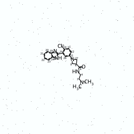 CN(C)CCNC(=O)C1CN(c2ccc(Cl)c(-c3nc4ccccc4[nH]3)c2)C1